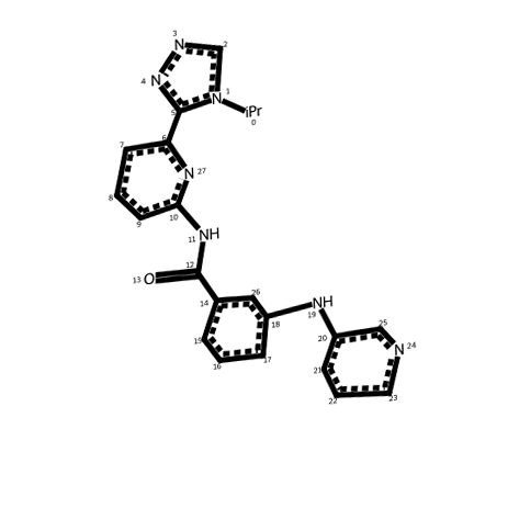 CC(C)n1cnnc1-c1cccc(NC(=O)c2cccc(Nc3cccnc3)c2)n1